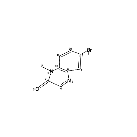 Cn1c(=O)cnc2cc(Br)ccc21